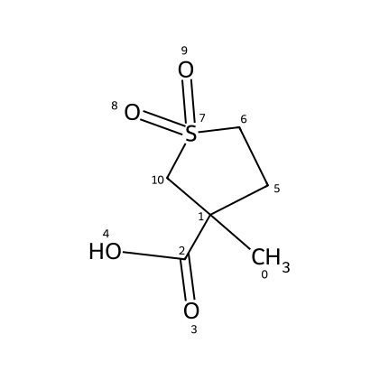 CC1(C(=O)O)CCS(=O)(=O)C1